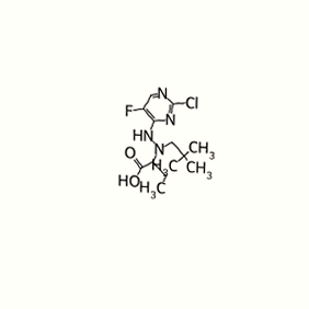 CCC(C(=O)O)N(CC(C)(C)C)Nc1nc(Cl)ncc1F